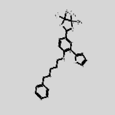 CC1(C)OC(c2ccc(OCCCCCc3ccccc3)c(-c3cccs3)c2)OC1(C)C